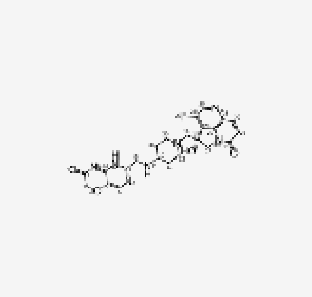 O=C1COC2=CN=C(CNC3CCN(C[C@]4(O)Cn5c(=O)ccc6ncc(F)c4c65)CC3)NC2=N1